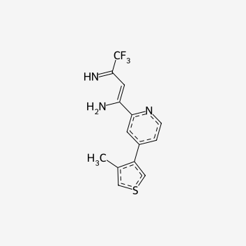 Cc1cscc1-c1ccnc(/C(N)=C/C(=N)C(F)(F)F)c1